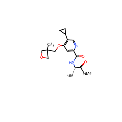 CNC(=O)[C@@H](NC(=O)c1cc(OCC2(C)COC2)c(C2CC2)cn1)C(C)(C)C